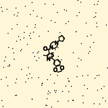 Cc1nc(-c2ccc3c(c2)OCCO3)sc1C(=O)N1CCN(C2CCCC2)CC1